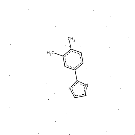 Cc1ccc(-c2n[c]cs2)cc1C